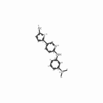 CC(=O)c1ccc(-c2ccc(Nc3cccc(N(C)C)c3)nc2)s1